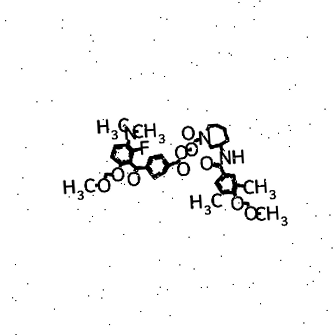 COCOc1ccc(N(C)C)c(F)c1C(=O)c1ccc(C(=O)OOC(=O)N2CCCCC(NC(=O)c3cc(C)c(OCOC)c(C)c3)C2)cc1